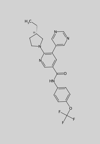 CC[C@H]1CCN(c2ncc(C(=O)Nc3ccc(OC(F)(F)F)cc3)cc2-c2cncnc2)C1